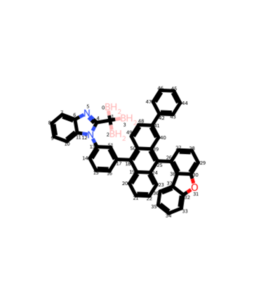 BC(B)(B)c1nc2ccccc2n1-c1cccc(-c2c3ccccc3c(-c3cccc4oc5ccccc5c34)c3cc(-c4ccccc4)ccc23)c1